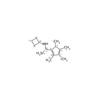 CC1=C(C)C(C)[C]([Ti]([SiH3])[NH]C2CCC2)=C1C